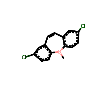 CB1c2ccc(Cl)cc2C=Cc2cc(Cl)ccc21